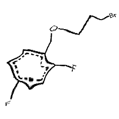 Fc1ccc(OCCBr)c(F)c1